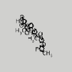 Cc1cc(F)cc(OC2CCN(C(=O)N(C)C3CCN(c4cccc5c4OC(C)(C)CN5C4CCC(=O)NC4=O)CC3)CC2)c1